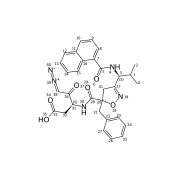 CC(C)[C@H](NC(=O)c1cccc2ccccc12)C1=NOC(Cc2ccccc2)(C(=O)N[C@@H](CC(=O)O)C(=O)C=[N+]=[N-])C1